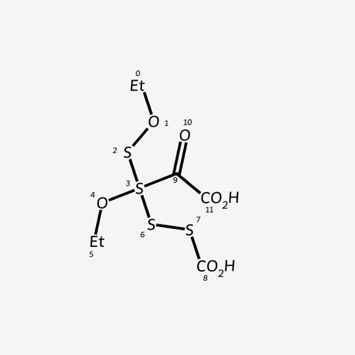 CCOSS(OCC)(SSC(=O)O)C(=O)C(=O)O